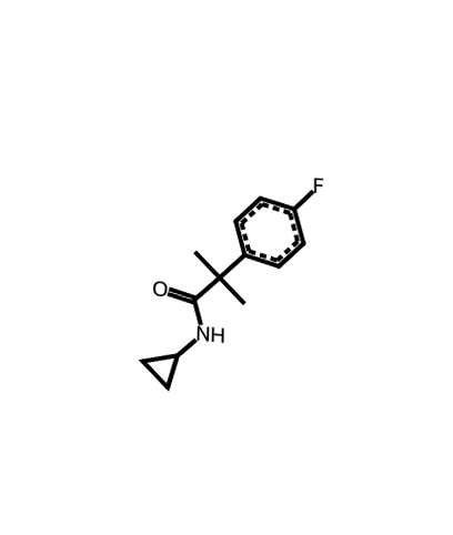 CC(C)(C(=O)NC1CC1)c1ccc(F)cc1